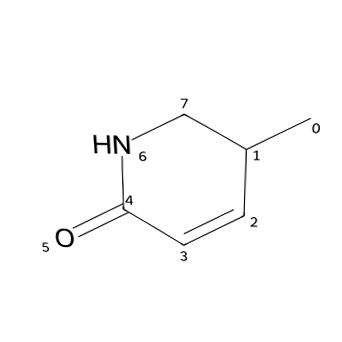 CC1C=CC(=O)NC1